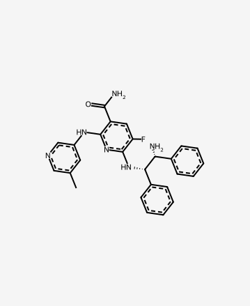 Cc1cncc(Nc2nc(N[C@@H](c3ccccc3)[C@H](N)c3ccccc3)c(F)cc2C(N)=O)c1